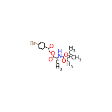 CC(NC(=O)OC(C)(C)C)C(=O)OCC(=O)c1ccc(Br)cc1